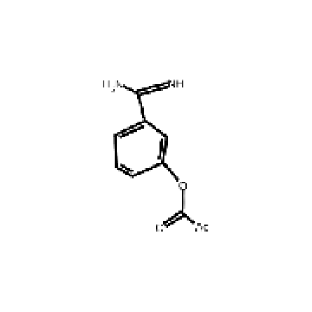 CC(=O)C(=O)Oc1cccc(C(=N)N)c1